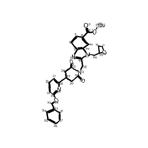 CC(C)(C)OC(=O)c1ccc2nc(CN3C(=O)CC(c4cccc(OCc5ccccc5)n4)CC3=O)n(CC3CCO3)c2c1